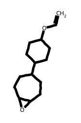 C=COC1CCC(C2CCC3OC3CC2)CC1